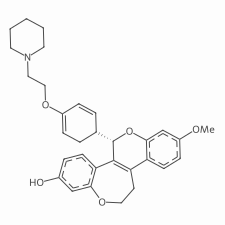 COc1ccc2c(c1)O[C@@H](C1C=CC(OCCN3CCCCC3)=CC1)C1=C2CCOc2cc(O)ccc21